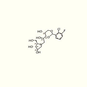 OC[C@@H]1[C@@H](O)[C@H](O)CN1C[C@@H](O)[C@H]1OC(c2cccc(F)c2Cl)OC[C@H]1O